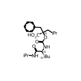 CC[C@H](C)[C@H](NC(=O)O[C@](Cc1ccccc1)(CC(C)C)C(=O)O)C(=O)NC(C)C